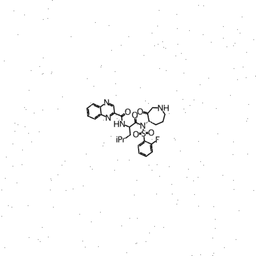 CC(C)CC(NC(=O)c1cnc2ccccc2n1)C(=O)N([C@H]1CCCNCC1=O)S(=O)(=O)c1ccccc1F